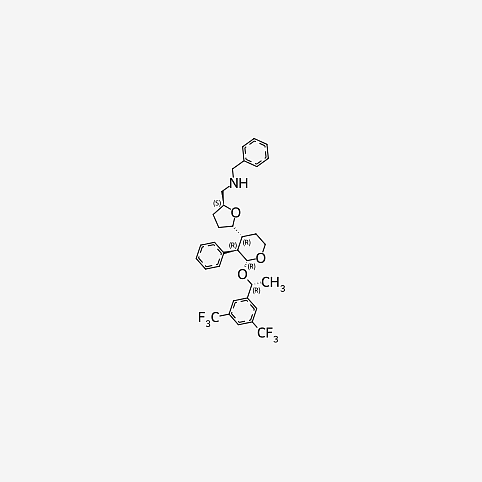 C[C@@H](O[C@H]1OCC[C@@H](C2CC[C@@H](CNCc3ccccc3)O2)[C@@H]1c1ccccc1)c1cc(C(F)(F)F)cc(C(F)(F)F)c1